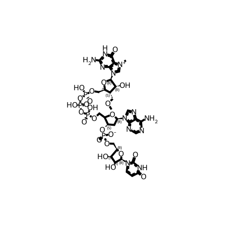 COC[C@H]1[C@@H](O)[C@H](n2c[n+](C)c3c(=O)[nH]c(N)nc32)O[C@@H]1COP(=O)(O)OP(=O)(O)OP(=O)(O)OCC1O[C@@H](n2cnc3c(N)ncnc32)C[C@@H]1OP(=O)([O-])OC[C@H]1O[C@@H](n2ccc(=O)[nH]c2=O)[C@H](O)[C@@H]1O